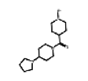 CC(C)N1CCC(C(=O)N2CCC(N3CCCC3)CC2)CC1